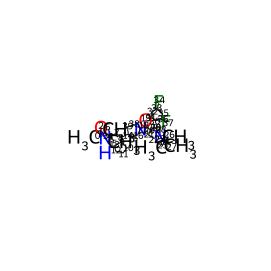 CC(=O)NC(C)(C)CC(C1CCCC1)C1CCN(C(=O)C2CCN(C(C)(C)C)C[C@H]2c2ccc(F)cc2F)CC1